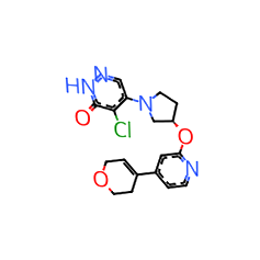 O=c1[nH]ncc(N2CC[C@@H](Oc3cc(C4=CCOCC4)ccn3)C2)c1Cl